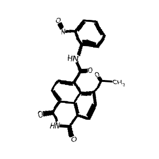 CC(=O)c1ccc2c3c(ccc(C(=O)Nc4ccccc4N=O)c13)C(=O)NC2=O